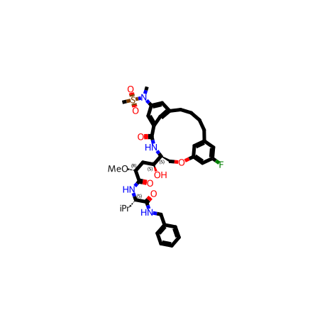 CO[C@H](C[C@H](O)[C@@H]1COc2cc(F)cc(c2)CCCCc2cc(cc(N(C)S(C)(=O)=O)c2)C(=O)N1)C(=O)N[C@H](C(=O)NCc1ccccc1)C(C)C